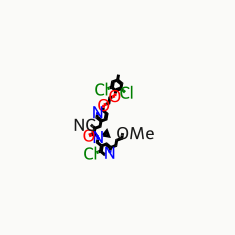 COCCCc1cc(CN(C(=O)C(C#N)Cc2ccc(OCCOc3c(Cl)cc(C)cc3Cl)nc2)C2CC2)c(Cl)cn1